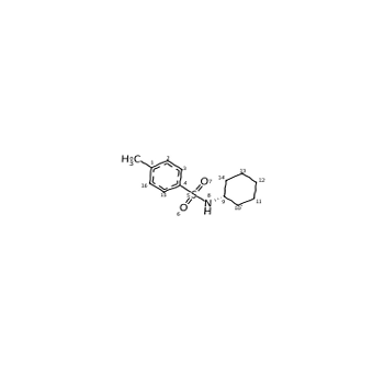 Cc1ccc(S(=O)(=O)N[C@H]2[CH]CCCC2)cc1